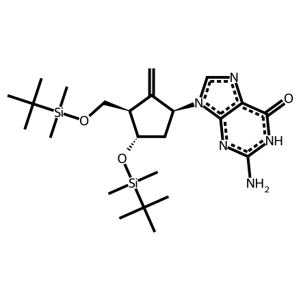 C=C1[C@H](CO[Si](C)(C)C(C)(C)C)[C@@H](O[Si](C)(C)C(C)(C)C)C[C@@H]1n1cnc2c(=O)[nH]c(N)nc21